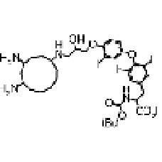 CC(C)(C)OC(=O)NC(Cc1cc(I)c(Oc2ccc(OCC(O)CNC3CCCCCC(N)CC(N)CC3)c(I)c2)c(I)c1)C(=O)O